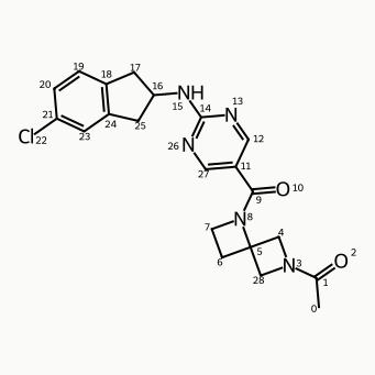 CC(=O)N1CC2(CCN2C(=O)c2cnc(NC3Cc4ccc(Cl)cc4C3)nc2)C1